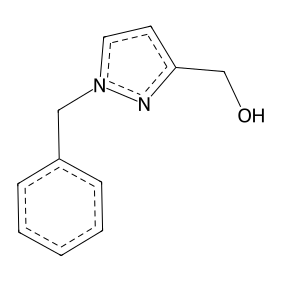 OCc1ccn(Cc2ccccc2)n1